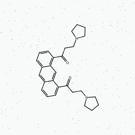 O=C(CCN1CCCC1)c1cccc2cc3cccc(C(=O)CCN4CCCC4)c3cc12